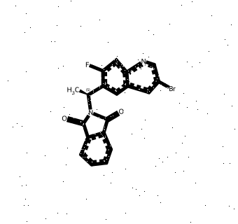 C[C@@H](c1cc2cc(Br)cnc2cc1F)N1C(=O)c2ccccc2C1=O